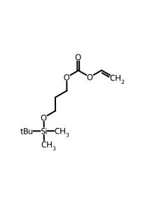 C=COC(=O)OCCCO[Si](C)(C)C(C)(C)C